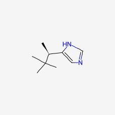 C[C@@H](c1cnc[nH]1)C(C)(C)C